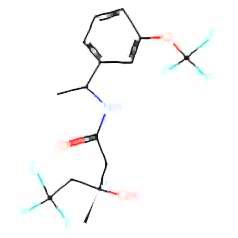 CC(NC(=O)C[C@](C)(O)CC(F)(F)F)c1cccc(OC(F)(F)F)c1